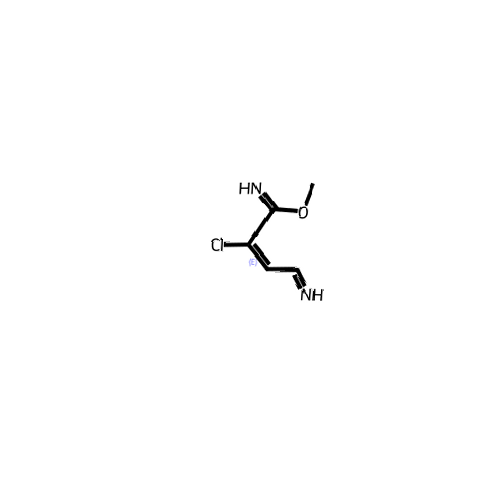 COC(=N)/C(Cl)=C\C=N